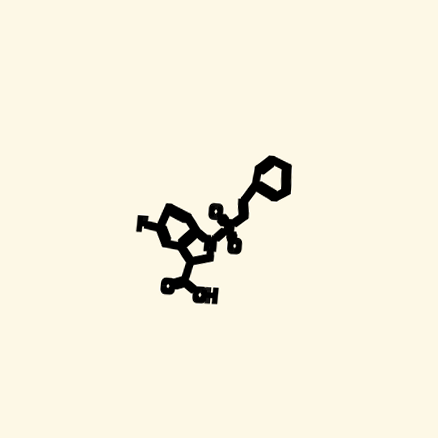 O=C(O)C1CN(S(=O)(=O)/C=C/c2ccccc2)c2ccc(F)cc21